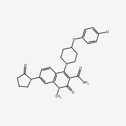 Cn1c(=O)c(C(N)=O)c(N2CCC(Oc3ccc(Cl)cc3)CC2)c2ccc(N3CCCC3=O)cc21